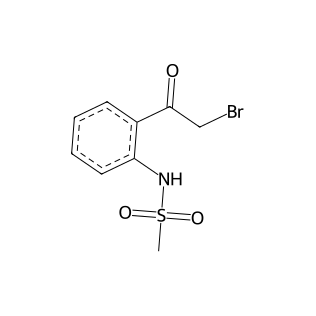 CS(=O)(=O)Nc1ccccc1C(=O)CBr